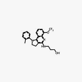 Cc1ccccc1N1CCc2c(NCCCO)nc3c(OC(F)(F)F)cccc3c21